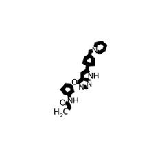 C=CC(=O)Nc1cccc(Oc2ncnc3[nH]c(-c4ccc(CN5CCCCC5)cc4)cc23)c1